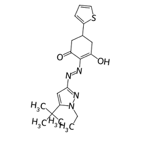 CCn1nc(N=NC2=C(O)CC(c3cccs3)CC2=O)cc1C(C)(C)C